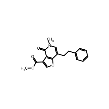 COC(=O)c1coc2c(CCc3ccccc3)cn(C)c(=O)c12